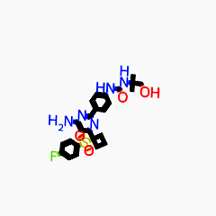 CC(C)(CO)NC(=O)Nc1ccc(-c2nc(N)cc(C3(S(=O)(=O)c4ccc(F)cc4)CCC3)n2)cc1